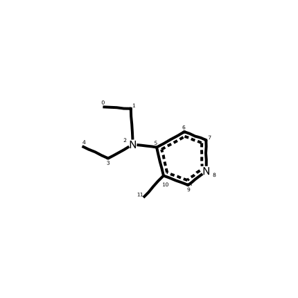 CCN(CC)c1ccn[c]c1C